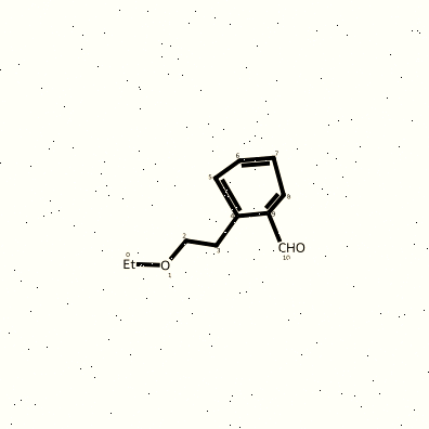 CCOCCc1ccccc1C=O